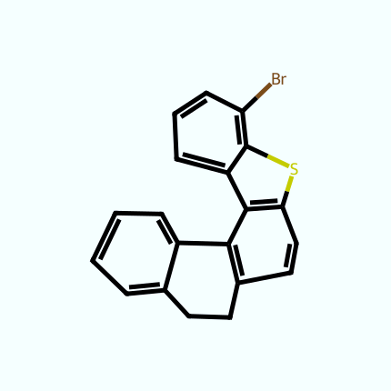 Brc1cccc2c1sc1ccc3c(c12)-c1ccccc1CC3